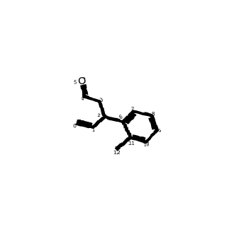 C=CC(CC=O)c1ccccc1C